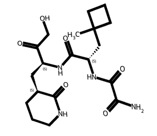 CC1(C[C@H](NC(=O)C(N)=O)C(=O)N[C@@H](C[C@@H]2CCCNC2=O)C(=O)CO)CCC1